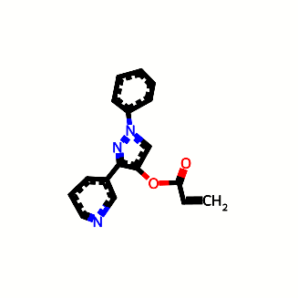 C=CC(=O)Oc1cn(-c2ccccc2)nc1-c1cccnc1